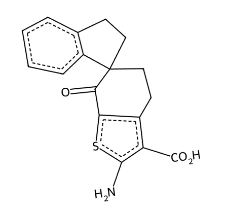 Nc1sc2c(c1C(=O)O)CCC1(CCc3ccccc31)C2=O